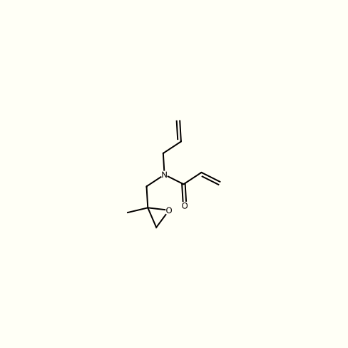 C=CCN(CC1(C)CO1)C(=O)C=C